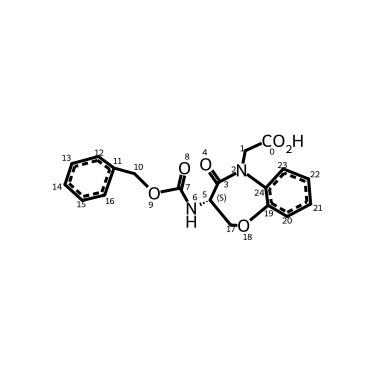 O=C(O)CN1C(=O)[C@@H](NC(=O)OCc2ccccc2)COc2ccccc21